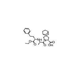 CCOC(=O)[C@@H](CCc1ccccc1)N[C@H](C)C(=O)N1C[C@@]2(CC3CCC2CC3)C[C@H]1C(=O)O